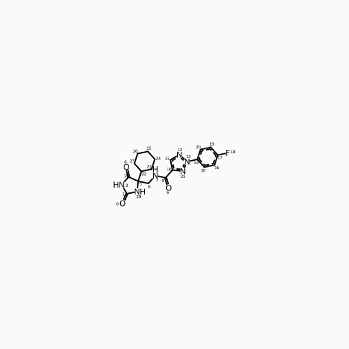 O=C1NC(=O)C(CNC(=O)c2cnn(-c3ccc(F)cc3)n2)(C2CCCCC2)N1